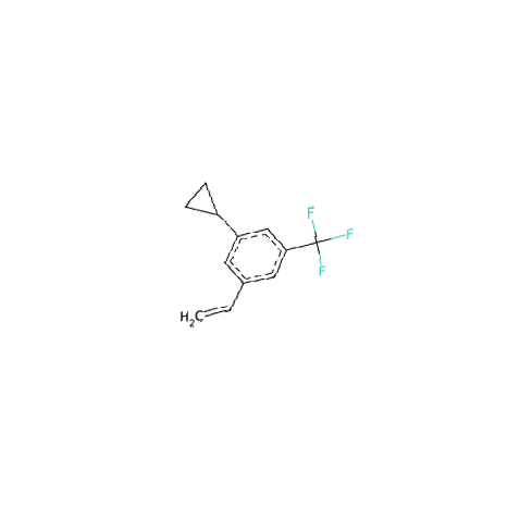 C=Cc1cc(C2CC2)cc(C(F)(F)F)c1